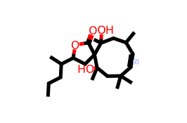 CCCC(C)C1CC2(C(=O)O1)C(C)(O)CC(C)/C=C\C(C)(C)CC2(C)O